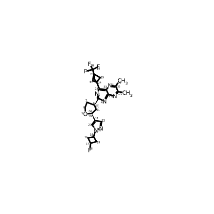 Cc1nc2nc([C@@H]3CCO[C@H](c4cnn(C5CC(F)C5)c4)C3)nc(C34CC(C(F)(F)F)(C3)C4)c2nc1C